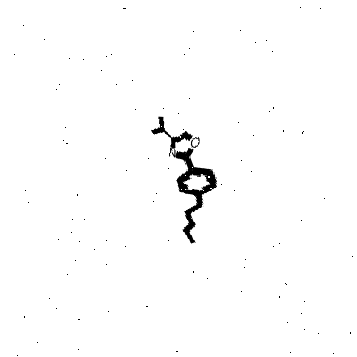 CCCCCc1ccc(C2=N[C@@H](C(C)C)CO2)cc1